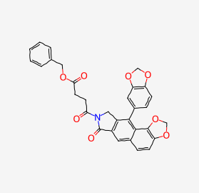 O=C(CCC(=O)N1Cc2c(cc3ccc4c(c3c2-c2ccc3c(c2)OCO3)OCO4)C1=O)OCc1ccccc1